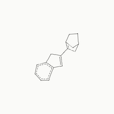 C1=C(C2=C3CCC(C3)C2)Cc2ccccc21